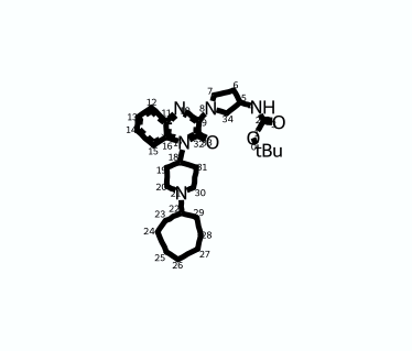 CC(C)(C)OC(=O)NC1CCN(c2nc3ccccc3n(C3CCN(C4CCCCCCC4)CC3)c2=O)C1